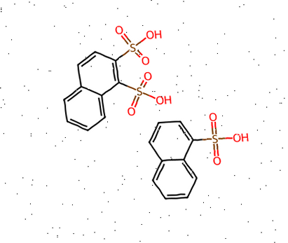 O=S(=O)(O)c1ccc2ccccc2c1S(=O)(=O)O.O=S(=O)(O)c1cccc2ccccc12